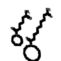 NC(=O)CCCCC(=O)N1CCCCCC1.NC(=O)CCCCCCCCC(=O)N1CCCCCCCCCC1